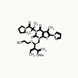 C=C(OC)/C(=C\C)[C@H](Cn1c(=O)n(C(C)(C)C(=O)N2CCCC2)c(=O)c2c(C)c(-n3cccn3)sc21)OCCC#N